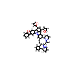 C=C1CC2C(CCc3cc4c(cc3-c3cccc[n+]31)c1c(-c3ccco3)cc(-c3ccco3)c3c5cc6oc7ccccc7c6cc5n4c13)c1ccccc1-c1cccc[n+]12